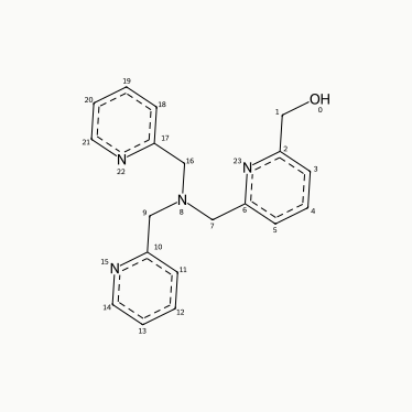 OCc1cccc(CN(Cc2ccccn2)Cc2ccccn2)n1